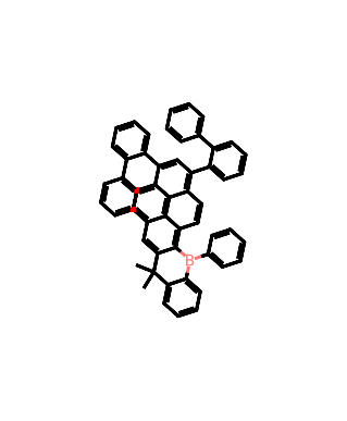 CC1(C)c2ccccc2B(c2ccccc2)c2c1cc1ccc3c(-c4ccccc4-c4ccccc4)cc(-c4ccccc4-c4ccccc4)c4ccc2c1c34